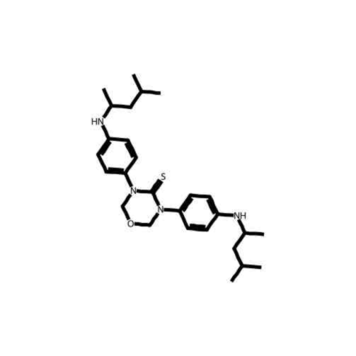 CC(C)CC(C)Nc1ccc(N2COCN(c3ccc(NC(C)CC(C)C)cc3)C2=S)cc1